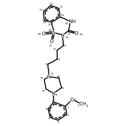 COc1ccccc1N1CCN(CCCCN2C(=O)Nc3ccccc3S2(=O)=O)CC1